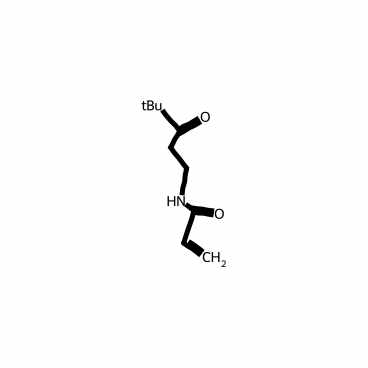 C=CC(=O)NCCC(=O)C(C)(C)C